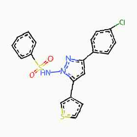 O=S(=O)(Nn1nc(-c2ccc(Cl)cc2)cc1-c1ccsc1)c1ccccc1